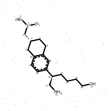 CCCC[S+]([O-])C[C@@H]1CCc2cc([C@H](CN)CCCCO)ccc2C1